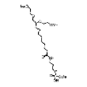 COCCOCC(COCCCCCCC(=O)NCCCOP(=O)(O)OC)OCCOC